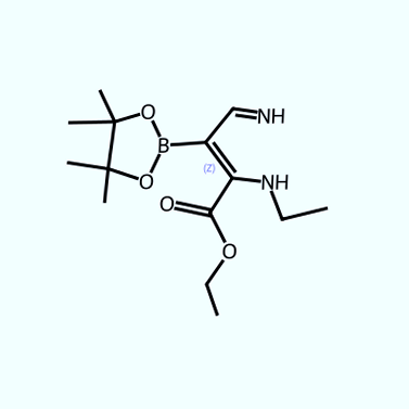 CCN/C(C(=O)OCC)=C(\C=N)B1OC(C)(C)C(C)(C)O1